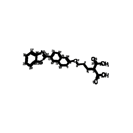 O=C(O)C(CCCOc1ccc2cc(-c3nc4ccccc4s3)ccc2c1)C(=O)O